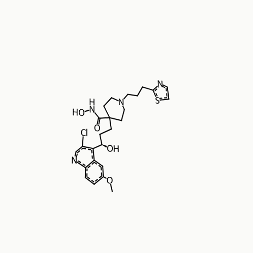 COc1ccc2ncc(Cl)c([C@H](O)CCC3(C(=O)NO)CCN(CCCc4nccs4)CC3)c2c1